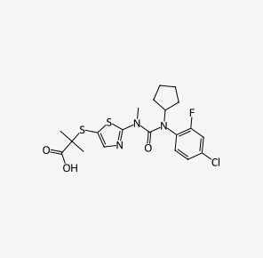 CN(C(=O)N(c1ccc(Cl)cc1F)C1CCCC1)c1ncc(SC(C)(C)C(=O)O)s1